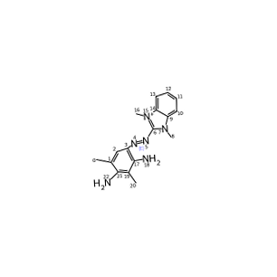 Cc1cc(/N=N/c2n(C)c3ccccc3[n+]2C)c(N)c(C)c1N